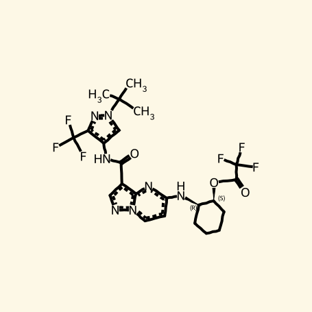 CC(C)(C)n1cc(NC(=O)c2cnn3ccc(N[C@@H]4CCCC[C@@H]4OC(=O)C(F)(F)F)nc23)c(C(F)(F)F)n1